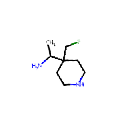 CC(N)C1(CF)CCNCC1